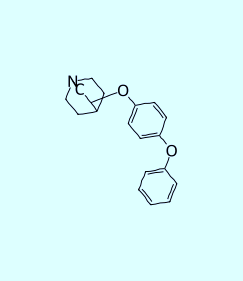 c1ccc(Oc2ccc(OC3CN4CCC3CC4)cc2)cc1